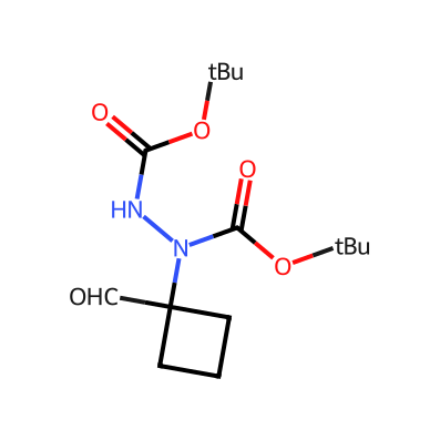 CC(C)(C)OC(=O)NN(C(=O)OC(C)(C)C)C1(C=O)CCC1